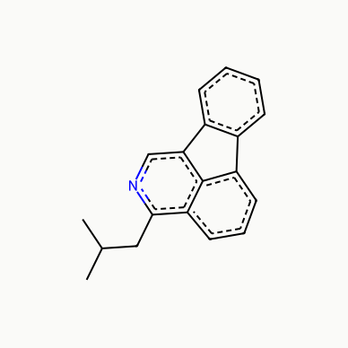 CC(C)Cc1ncc2c3c(cccc13)-c1ccccc1-2